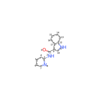 O=C(Nc1ccccn1)c1c[nH]c2ccccc12